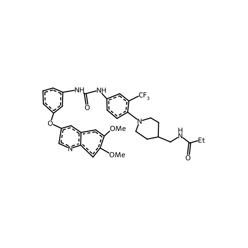 CCC(=O)NCC1CCN(c2ccc(NC(=O)Nc3cccc(Oc4cnc5cc(OC)c(OC)cc5c4)c3)cc2C(F)(F)F)CC1